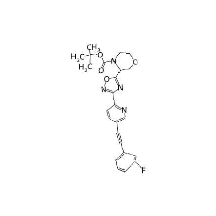 CC(C)(C)OC(=O)N1CCOCC1c1nc(-c2ccc(C#Cc3cccc(F)c3)cn2)no1